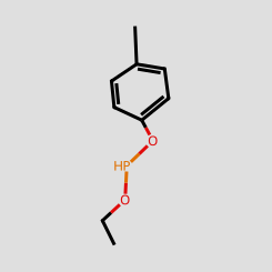 CCOPOc1ccc(C)cc1